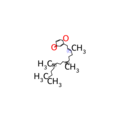 C/C(=C\CC1=CC(=O)C=CC1=O)CCC[C@H](C)CCC[C@H](C)CCCC(C)C